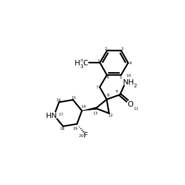 Cc1ccccc1CC1(C(N)=O)CC1[C@@H]1CCNC[C@H]1F